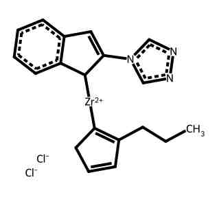 CCCC1=[C]([Zr+2][CH]2C(n3cnnc3)=Cc3ccccc32)CC=C1.[Cl-].[Cl-]